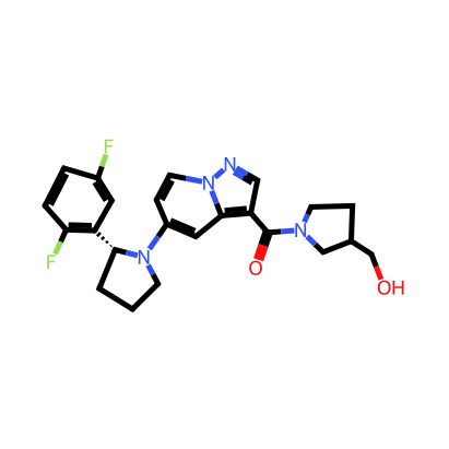 O=C(c1cnn2ccc(N3CCC[C@@H]3c3cc(F)ccc3F)cc12)N1CCC(CO)C1